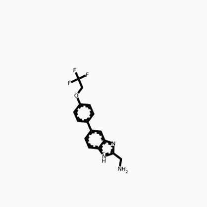 NCc1nc2cc(-c3ccc(OCC(F)(F)F)cc3)ccc2[nH]1